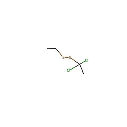 CCSSC(C)(Cl)Cl